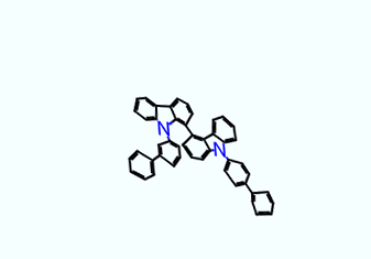 c1ccc(-c2ccc(-n3c4ccccc4c4c(-c5cccc6c7ccccc7n(-c7cccc(-c8ccccc8)c7)c56)cccc43)cc2)cc1